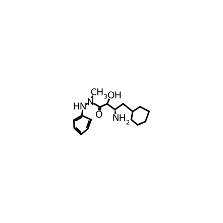 CN(Nc1ccccc1)C(=O)C(O)[C@H](N)CC1CCCCC1